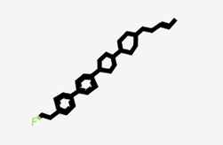 C/C=C/CCC1CCC(C2CCC(c3ccc(-c4ccc(CCF)cc4)cc3)CC2)CC1